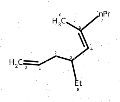 C=CCC(C=C(C)CCC)CC